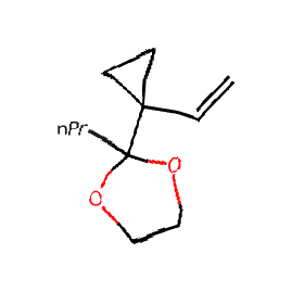 C=CC1(C2(CCC)OCCO2)CC1